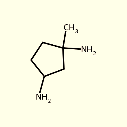 CC1(N)CCC(N)C1